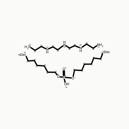 CCCCCCCCCCCCCCCCOP(=O)(O)OCCCCCCCCCCCCCCCC.NCCNCCNCCNCCN